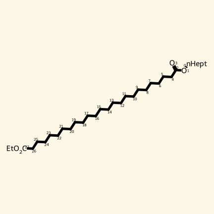 CCCCCCCOC(=O)CCCCCCCCCCCCCCCCCCCCCCCC(=O)OCC